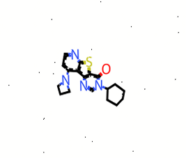 O=c1c2sc3nccc(N4CCC4)c3c2ncn1C1CCCCC1